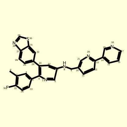 Cc1cc(-c2ncc(NCc3ccc(-c4cccnc4)nc3)cc2-c2ccc3ncsc3c2)ccc1F